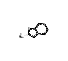 CC[C@@H](C)c1cc2ccccc2s1